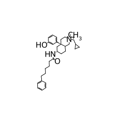 C[N@+]1(CC2CC2)CC[C@@]2(c3cccc(O)c3)C[C@@H](NC(=O)CCCCCc3ccccc3)CCC2C1